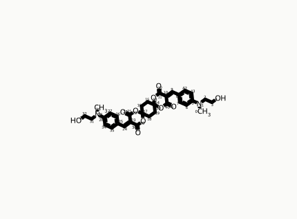 CN(CCO)c1ccc(C=C2C(=O)OC3(CCC4(CC3)OC(=O)C(=Cc3ccc(N(C)CCO)cc3)C(=O)O4)OC2=O)cc1